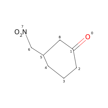 O=C1CCCC(C[N+](=O)[O-])C1